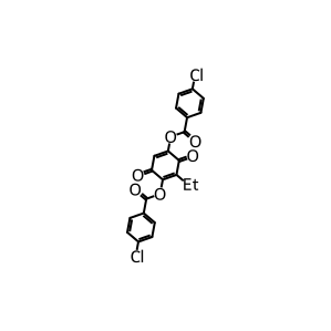 CCC1=C(OC(=O)c2ccc(Cl)cc2)C(=O)C=C(OC(=O)c2ccc(Cl)cc2)C1=O